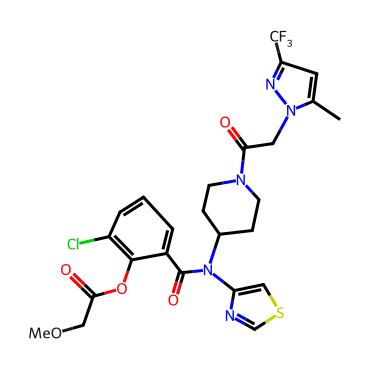 COCC(=O)Oc1c(Cl)cccc1C(=O)N(c1cscn1)C1CCN(C(=O)Cn2nc(C(F)(F)F)cc2C)CC1